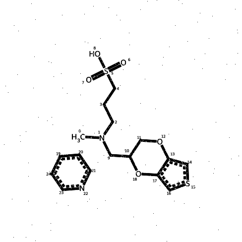 CN(CCCS(=O)(=O)O)CC1COc2cscc2O1.c1ccncc1